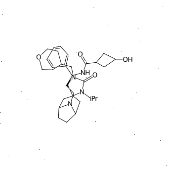 CC(C)N1C(=O)N(CC2CCOCC2)CC12CC1CCC(C2)N1CC[C@H](NC(=O)C1CC(O)C1)c1ccccc1